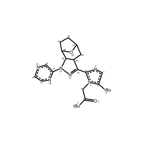 CC(C)(C)C(=O)Cn1c(C(C)(C)C)cnc1C1=NN(c2cnccn2)C2C3CCC(CC12)O3